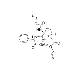 C=CCOC(=O)N[C@@]1(C(=O)NC(C(=O)OC)c2ccccc2)CC[C@H]2[C@H](C(=O)OCC=C)[C@H]21